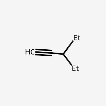 C#CC(C[CH2])CC